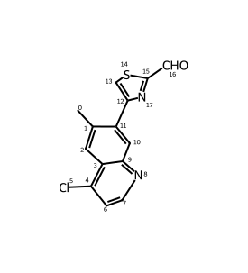 Cc1cc2c(Cl)ccnc2cc1-c1csc(C=O)n1